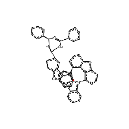 c1ccc(C2=NC(c3ccccc3)NC(c3ccc4oc5cccc(-c6cccc7sc8cccc(-n9c%10ccccc%10c%10ccccc%109)c8c67)c5c4c3)N2)cc1